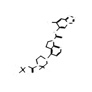 Cc1cc2nnnn2cc1NC(=O)N1CCc2c(N3CCN(C(=O)OC(C)(C)C)C(C)(C)C3)ccnc21